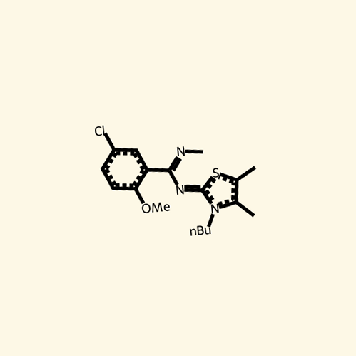 CCCCn1c(C)c(C)sc1=NC(=NC)c1cc(Cl)ccc1OC